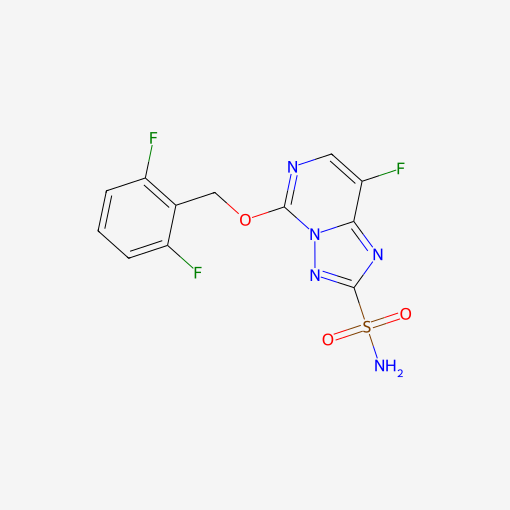 NS(=O)(=O)c1nc2c(F)cnc(OCc3c(F)cccc3F)n2n1